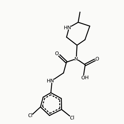 CC1CCC(N(C(=O)O)C(=O)CNc2cc(Cl)cc(Cl)c2)CN1